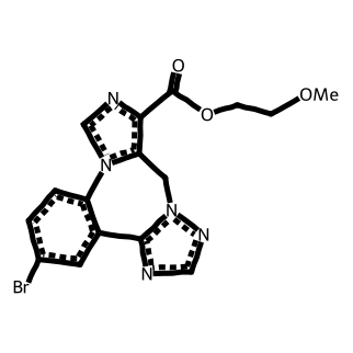 COCCOC(=O)c1ncn2c1Cn1ncnc1-c1cc(Br)ccc1-2